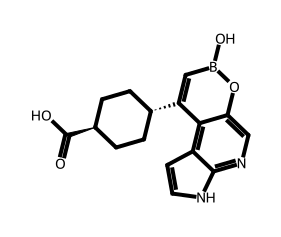 O=C(O)[C@H]1CC[C@H](C2=CB(O)Oc3cnc4[nH]ccc4c32)CC1